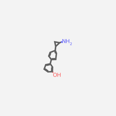 NC1CC1c1ccc(-c2cccc(O)c2)cc1